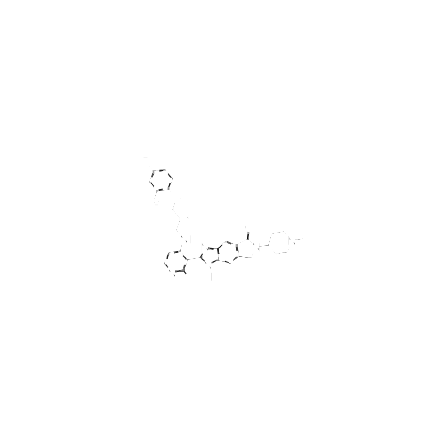 CN1CCC(N2Cc3cc4[nH]c(-c5c(NC[C@@H](O)COc6ccc(F)cc6Br)cc[nH]c5=O)nc4cc3C2=O)CC1